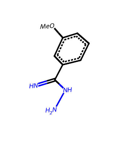 COc1cccc(C(=N)NN)c1